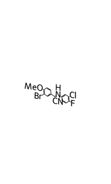 COc1ccc(C(C#N)Nc2ccc(F)c(Cl)c2)cc1Br